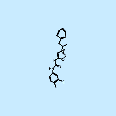 Cc1ccc(NC(=O)[N-]c2c[n+](C(C)Cc3ccccc3)no2)cc1Cl